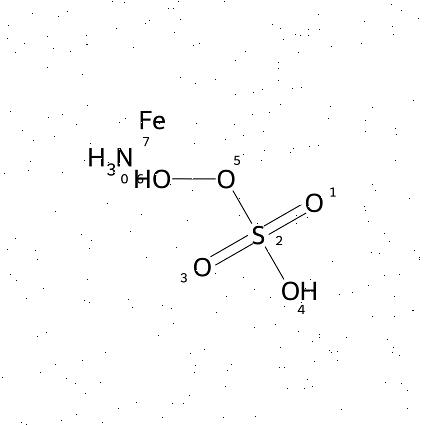 N.O=S(=O)(O)OO.[Fe]